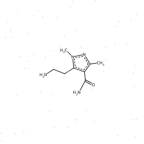 Cc1nn(C)c(CCN)c1C(N)=O